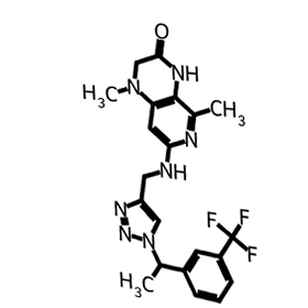 Cc1nc(NCc2cn(C(C)c3cccc(C(F)(F)F)c3)nn2)cc2c1NC(=O)CN2C